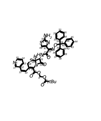 CC(C)(C)C(=O)OCOC(=O)C1=C(/C=C\c2cccnc2)CS[C@@H]2[C@H](NC(=O)/C(=N/OC(c3ccccc3)(c3ccccc3)c3ccccc3)c3csc(N)n3)C(=O)N12